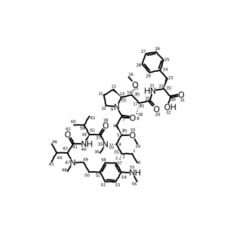 CC[C@H](C)[C@@H]([C@@H](CC(=O)N1CCC[C@H]1[C@H](OC)[C@@H](C)C(=O)N[C@@H](Cc1ccccc1)C(=O)O)OC)N(C)C(=O)[C@@H](NC(=O)C(C(C)C)N(C)CCc1ccc(NC)cc1)C(C)C